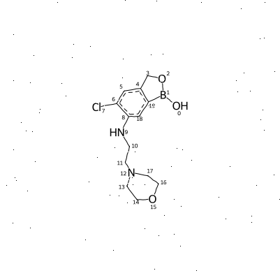 OB1OCc2cc(Cl)c(NCCN3CCOCC3)cc21